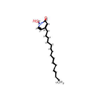 CCCCCCCCCCCCCCCCc1ccn(O)c(=O)c1